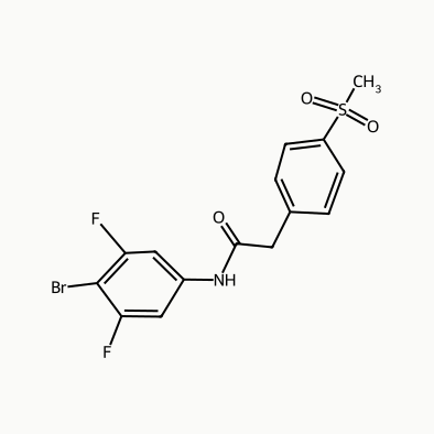 CS(=O)(=O)c1ccc(CC(=O)Nc2cc(F)c(Br)c(F)c2)cc1